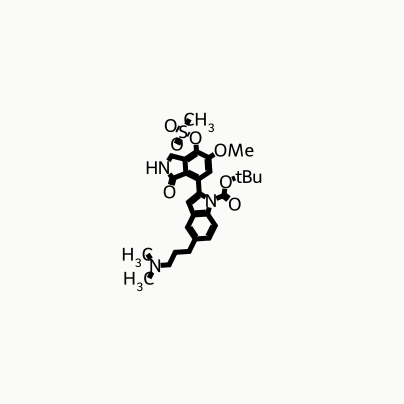 COc1cc(-c2cc3cc(CCCN(C)C)ccc3n2C(=O)OC(C)(C)C)c2c(c1OS(C)(=O)=O)CNC2=O